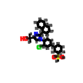 CC(C)(O)c1cn(-c2ccc(-c3cccc(S(C)(=O)=O)c3)cc2Cl)c(-c2cccc3ccccc23)n1